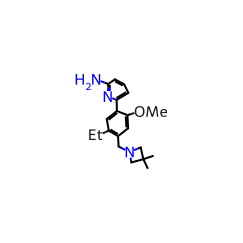 CCc1cc(-c2cccc(N)n2)c(OC)cc1CN1CC(C)(C)C1